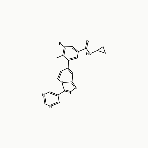 Cc1c(F)cc(C(=O)NC2CC2)cc1-c1ccn2c(-c3cncnc3)nnc2c1